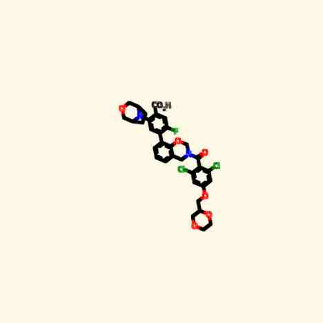 O=C(O)c1cc(F)c(-c2cccc3c2OCN(C(=O)c2c(Cl)cc(OCC4COCCO4)cc2Cl)C3)cc1N1C2CCC1COC2